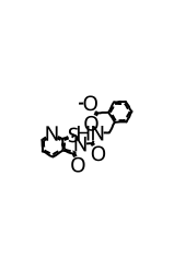 COC(=O)c1ccccc1CNC(=O)n1sc2ncccc2c1=O